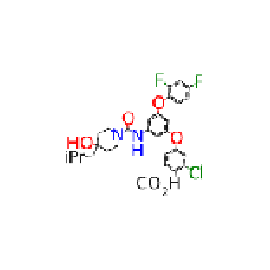 CC(C)CC1(O)CCN(C(=O)Nc2cc(Oc3ccc(C(=O)O)c(Cl)c3)cc(Oc3ccc(F)cc3F)c2)CC1